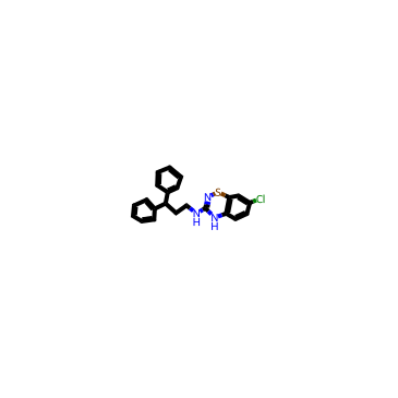 Clc1ccc2c(c1)SN=C(NCCC(c1ccccc1)c1ccccc1)N2